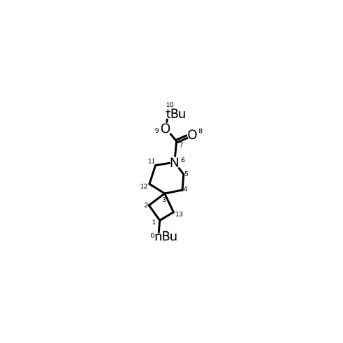 CCCCC1CC2(CCN(C(=O)OC(C)(C)C)CC2)C1